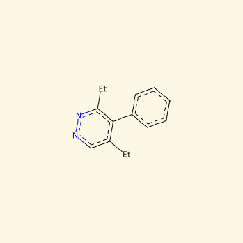 CCc1cnnc(CC)c1-c1ccccc1